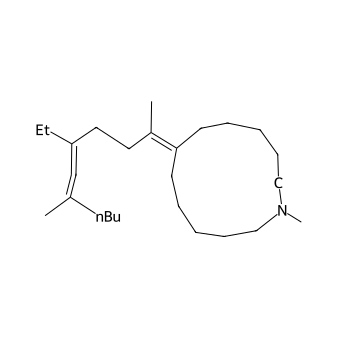 CCCCC(C)=C=C(CC)CCC(C)=C1CCCCCN(C)CCCCC1